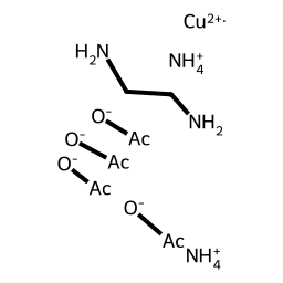 CC(=O)[O-].CC(=O)[O-].CC(=O)[O-].CC(=O)[O-].NCCN.[Cu+2].[NH4+].[NH4+]